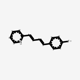 Fc1ccc(C=CC=Cc2ccccn2)cc1